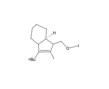 CCCCC1=C(C)C(COI)[C@@H]2CCCCC12